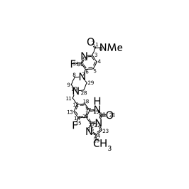 CNC(=O)c1ccc(N2CCN(Cc3cc(F)c4c(c3)[nH]c(=O)n3cc(C)nc43)CC2)c(F)n1